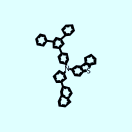 c1ccc(-c2cc(-c3ccccc3)cc(-c3ccc(N(c4cccc(-c5ccc6ccccc6c5)c4)c4ccc5sc6ccccc6c5c4)cc3)c2)cc1